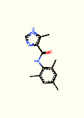 Cc1cc(C)c(NC(=O)c2nc[nH]c2C)c(C)c1